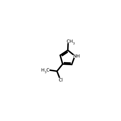 Cc1cc(C(C)Cl)c[nH]1